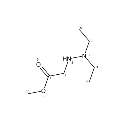 CCN(CC)NCC(=O)OC